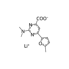 Cc1ccc(-c2cc(C(=O)[O-])nc(N(C)C)n2)o1.[Li+]